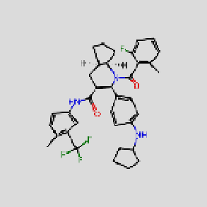 Cc1ccc(NC(=O)[C@H]2C[C@H]3CCC[C@H]3N(C(=O)c3c(C)cccc3F)[C@H]2c2ccc(NC3CCCC3)cc2)cc1C(F)(F)F